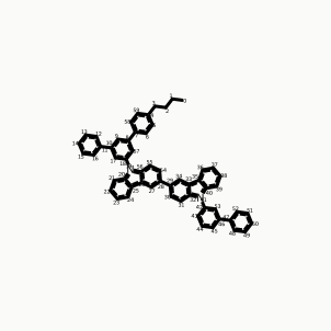 CCCCc1ccc(-c2cc(-c3ccccc3)cc(-n3c4ccccc4c4cc(-c5ccc6c(c5)c5ccccc5n6-c5cccc(-c6ccccc6)c5)ccc43)c2)cc1